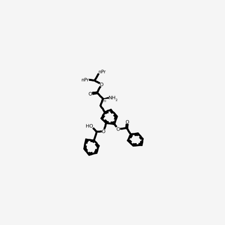 CCCC(CCC)OC(=O)[C@@H](N)Cc1ccc(OC(=O)c2ccccc2)c(OC(O)c2ccccc2)c1